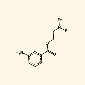 CCN(CC)CCOC(=O)c1cccc(N)c1